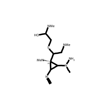 C=NC1C(N(C)N)[C@]1(NC)C(CNC)SCC(O)NC